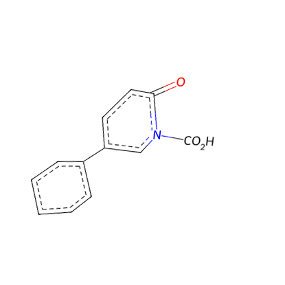 O=C(O)n1cc(-c2ccccc2)ccc1=O